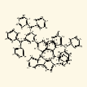 Cc1cc(-c2nc(-c3cc(N(c4ccccc4)c4ccccc4)cc(N(c4ccccc4)c4ccccc4)c3)nc(-n3c4ccccc4c4ccc5c6ccccc6n(-c6ccccc6)c5c43)n2)cc(N(c2ccccc2)c2ccccc2)c1